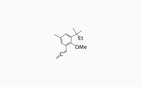 C=C=Cc1cc(C)cc(C(C)(C)CC)c1OC